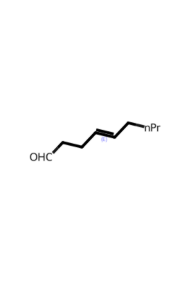 CCCC/C=C/CCC=O